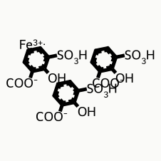 O=C([O-])c1cccc(S(=O)(=O)O)c1O.O=C([O-])c1cccc(S(=O)(=O)O)c1O.O=C([O-])c1cccc(S(=O)(=O)O)c1O.[Fe+3]